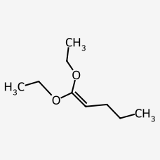 CCCC=C(OCC)OCC